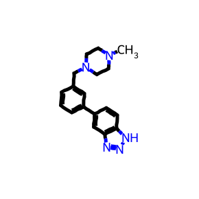 CN1CCN(Cc2cccc(-c3ccc4[nH]nnc4c3)c2)CC1